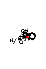 CC(=O)OCc1cc(O)cc2c1CC1CCCCCC2(C)C1N